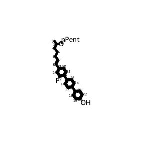 CCCCCOC(C)CCCC=Cc1ccc(-c2ccc(-c3ccc(O)cc3)cc2)c(F)c1